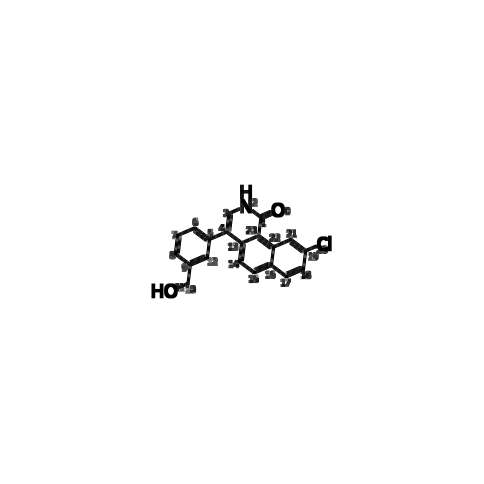 O=c1[nH]cc(-c2cccc(CO)c2)c2ccc3ccc(Cl)cc3c12